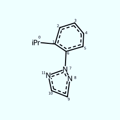 CC(C)c1ccccc1-n1nccn1